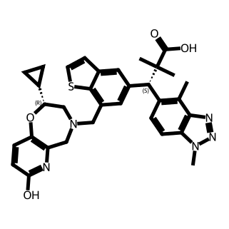 Cc1c([C@H](c2cc(CN3Cc4nc(O)ccc4O[C@H](C4CC4)C3)c3sccc3c2)C(C)(C)C(=O)O)ccc2c1nnn2C